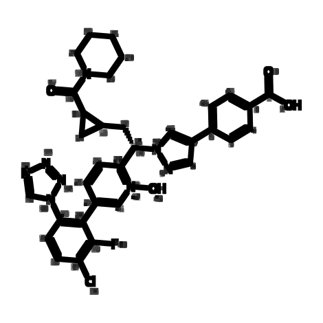 O=C(O)c1ccc(-c2cnn([C@@H](CC3CC3C(=O)N3CCCCC3)c3ccc(-c4c(-n5cnnn5)ccc(Cl)c4F)c[n+]3O)c2)cc1